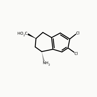 N[C@@H]1C[C@@H](C(=O)O)Cc2cc(Cl)c(Cl)cc21